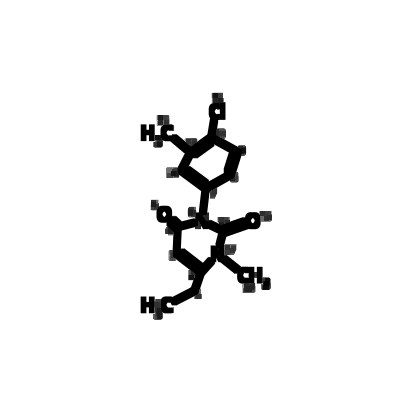 CCc1cc(=O)n(-c2ccc(Cl)c(C)c2)c(=O)n1C